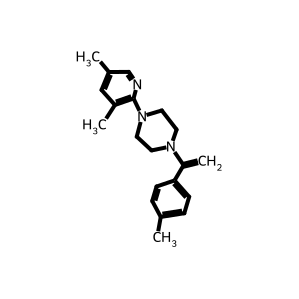 C=C(c1ccc(C)cc1)N1CCN(c2ncc(C)cc2C)CC1